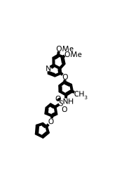 COc1cc2nccc(Oc3ccc(NS(=O)(=O)c4cccc(Oc5ccccc5)c4)c(C)c3)c2cc1OC